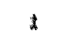 C#CC[C@H](NC(=O)[C@H](CCC(=O)OC)NC(=O)c1ccc(N(C=O)Cc2cnc3nc(/N=C/N(C)C)[nH]c(=O)c3n2)cc1)C(=O)OC